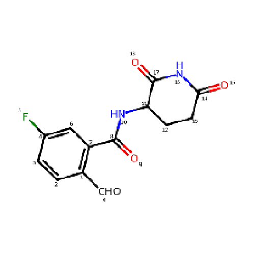 O=Cc1ccc(F)cc1C(=O)NC1CCC(=O)NC1=O